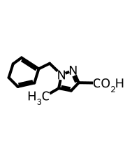 Cc1cc(C(=O)O)nn1CC1=CCCC=C1